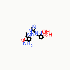 Cc1cc2c(C(N)=O)cccc2n1-c1nc2c(c(NCc3cccc(B(O)O)c3)n1)CN(C)C2